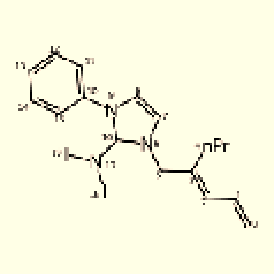 C=C/C=C(\CCC)CN1C=CN(c2ccccc2)C1N(I)I